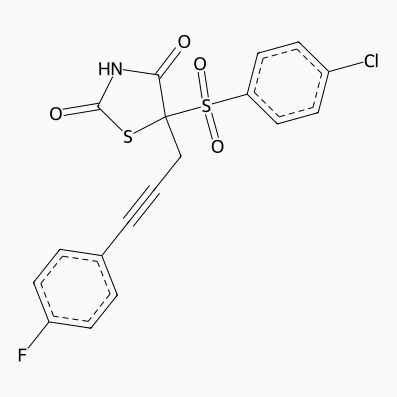 O=C1NC(=O)C(CC#Cc2ccc(F)cc2)(S(=O)(=O)c2ccc(Cl)cc2)S1